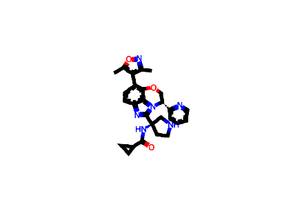 Cc1noc(C)c1-c1ccc2nc([C@@]3(NC(=O)C4CC4)CCNC3)n3c2c1OC[C@@H]3c1ccccn1